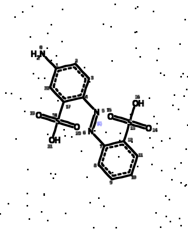 Nc1ccc(/N=N/c2ccccc2S(=O)(=O)O)c(S(=O)(=O)O)c1